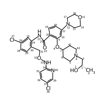 C[C@H](O)CN1CCC(Oc2cc(N3CCOCC3)ccc2C(=O)Nc2cc(Cl)ccc2CONc2ccc(Cl)cn2)CC1